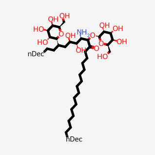 CCCCCCCCCCCCCCCCCCCCCCCCCC(=O)C(O[C@H]1O[C@H](CO)[C@H](O)[C@H](O)[C@H]1O)[C@@H](N)[C@H](O)[C@H](O)CC(CCCCCCCCCCCC)[C@H]1O[C@H](CO)[C@H](O)[C@H](O)[C@H]1O